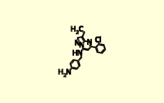 C=Cc1cnn2c(NCc3ccc(N)cc3)cc(-c3ccccc3Cl)nc12